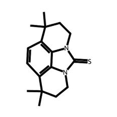 CC1(C)CCn2c(=S)n3c4c(ccc1c42)C(C)(C)CC3